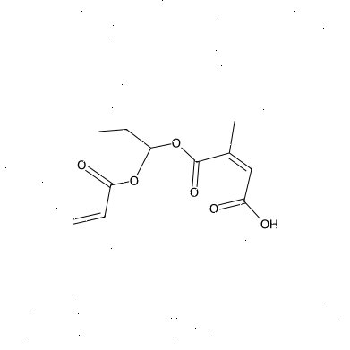 C=CC(=O)OC(CC)OC(=O)/C(C)=C\C(=O)O